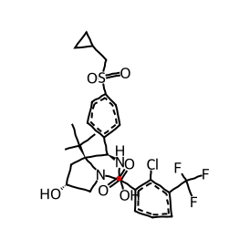 CC(C)(C)[C@]1([C@H](NC(=O)c2cccc(C(F)(F)F)c2Cl)c2ccc(S(=O)(=O)CC3CC3)cc2)C[C@@H](O)CN1C(=O)O